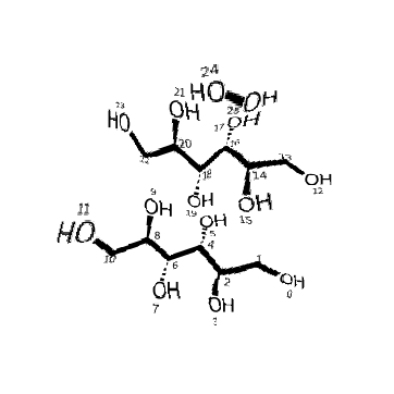 OC[C@@H](O)[C@@H](O)[C@H](O)[C@H](O)CO.OC[C@@H](O)[C@@H](O)[C@H](O)[C@H](O)CO.OO